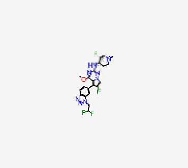 COc1nc(N[C@H]2CCN(C)C[C@H]2F)nn2cc(F)c(-c3ccc4nnn(CC(F)F)c4c3)c12